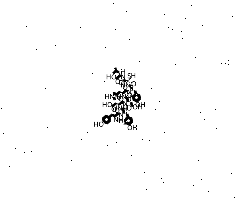 CC(C)C[C@H](NC(=O)[C@H](CS)NC(=O)[C@H](Cc1ccc(O)cc1)NC(=O)[C@H](Cc1c[nH]cn1)NC(=O)[C@H](CC(=O)O)NC(=O)[C@H](CC(=O)O)NC(=O)[C@H](Cc1ccc(O)cc1)NC(=O)[C@@H](N)Cc1ccc(O)cc1)C(=O)O